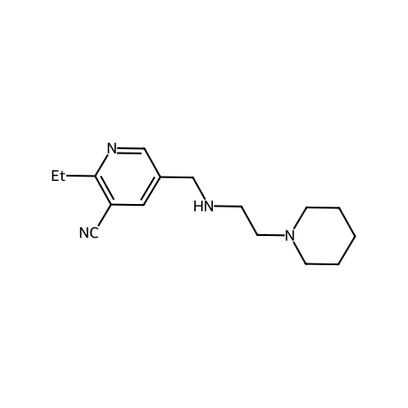 CCc1ncc(CNCCN2CCCCC2)cc1C#N